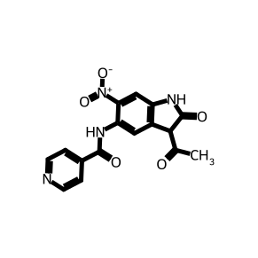 CC(=O)C1C(=O)Nc2cc([N+](=O)[O-])c(NC(=O)c3ccncc3)cc21